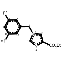 CCOC(=O)c1cn(Cc2cc(F)cc(F)c2)cn1